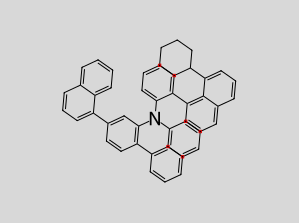 c1ccc(-c2ccc(-c3cccc4ccccc34)cc2N(c2ccccc2)c2ccccc2-c2cccc3cccc(C4CCCCC4)c23)cc1